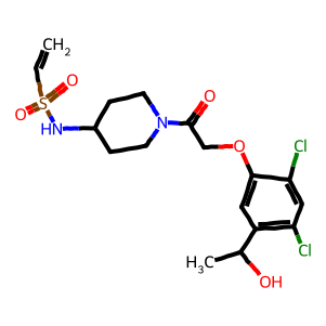 C=CS(=O)(=O)NC1CCN(C(=O)COc2cc(C(C)O)c(Cl)cc2Cl)CC1